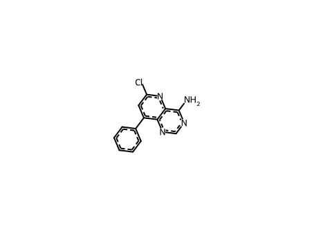 Nc1ncnc2c(-c3ccccc3)cc(Cl)nc12